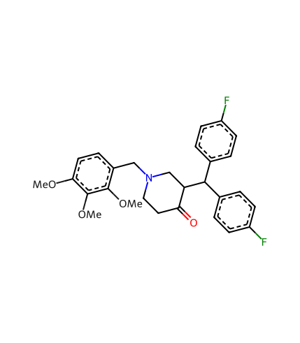 COc1ccc(CN2CCC(=O)C(C(c3ccc(F)cc3)c3ccc(F)cc3)C2)c(OC)c1OC